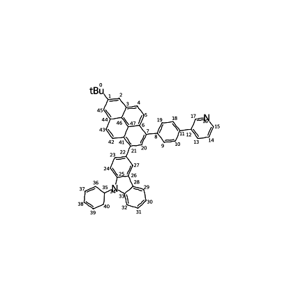 CC(C)(C)c1cc2ccc3c(-c4ccc(-c5cccnc5)cc4)cc(-c4ccc5c(c4)c4ccccc4n5C4C=CC=CC4)c4ccc(c1)c2c34